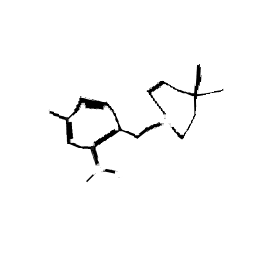 CC1(C)CCN(Cc2ccc(F)cc2B(O)O)CC1